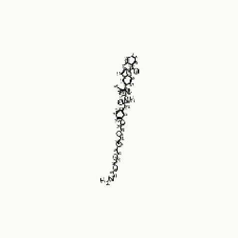 Cc1ccccc1C(=O)n1ccc2cc(-c3nc(NC(=O)Cc4cccc(OCCOCCOCCOCCOCCN)c4)sc3C)ccc21